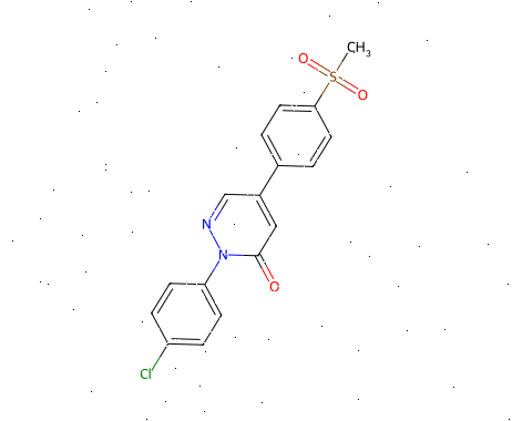 CS(=O)(=O)c1ccc(-c2cnn(-c3ccc(Cl)cc3)c(=O)c2)cc1